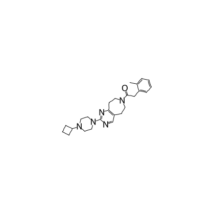 Cc1ccccc1CC(=O)N1CCc2cnc(N3CCN(C4CCC4)CC3)nc2CC1